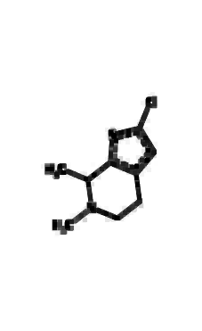 CC1c2sc(Cl)cc2CCN1C